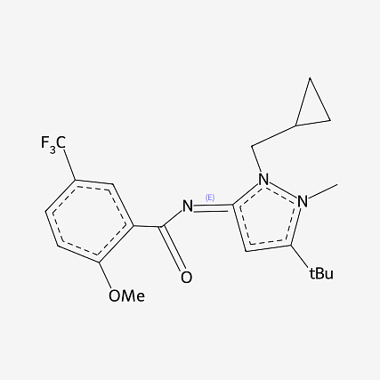 COc1ccc(C(F)(F)F)cc1C(=O)/N=c1\cc(C(C)(C)C)n(C)n1CC1CC1